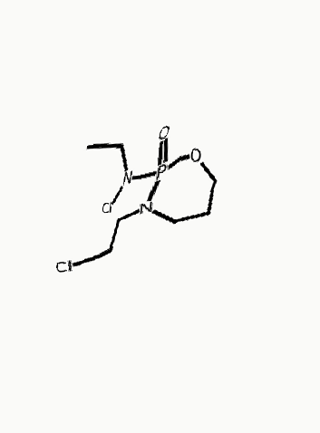 CCN(Cl)P1(=O)OCCCN1CCCl